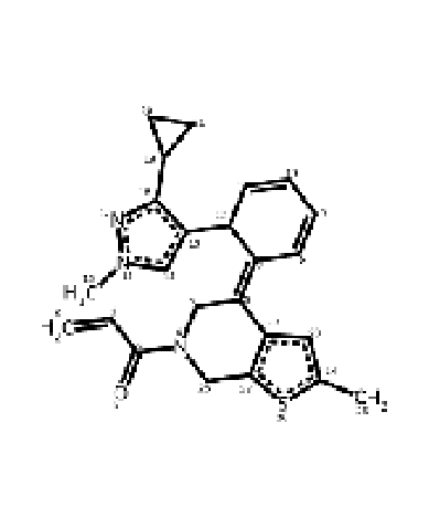 C=CC(=O)N1C/C(=C2/C=CC=CC2c2cn(C)nc2C2CC2)c2cc(C)sc2C1